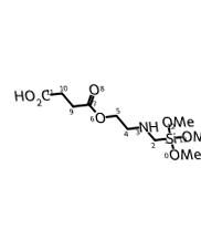 CO[Si](CNCCOC(=O)CCC(=O)O)(OC)OC